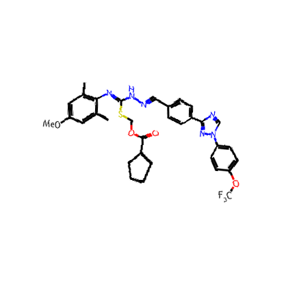 COc1cc(C)c(/N=C(/N/N=C/c2ccc(-c3ncn(-c4ccc(OC(F)(F)F)cc4)n3)cc2)SCOC(=O)C2CCCC2)c(C)c1